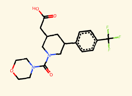 O=C(O)CC1CC(c2ccc(C(F)(F)F)cc2)CN(C(=O)N2CCOCC2)C1